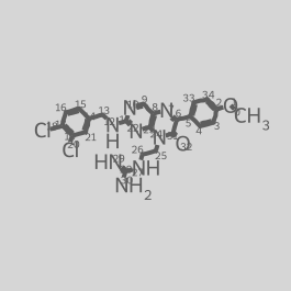 COc1ccc(-c2nc3cnc(NCc4ccc(Cl)c(Cl)c4)nc3n(CCNC(=N)N)c2=O)cc1